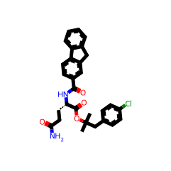 CC(C)(Cc1ccc(Cl)cc1)OC(=O)[C@H](CCC(N)=O)NC(=O)c1ccc2c(c1)Cc1ccccc1-2